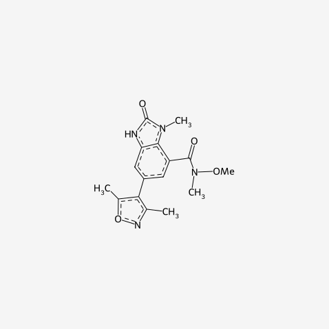 CON(C)C(=O)c1cc(-c2c(C)noc2C)cc2[nH]c(=O)n(C)c12